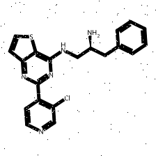 N[C@H](CNc1nc(-c2ccncc2Cl)nc2ccsc12)Cc1ccccc1